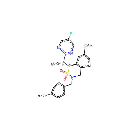 COc1ccc(CN2Cc3ccc(OC)cc3[C@H]([C@H](OC)c3ncc(F)cn3)S2(=O)=O)cc1